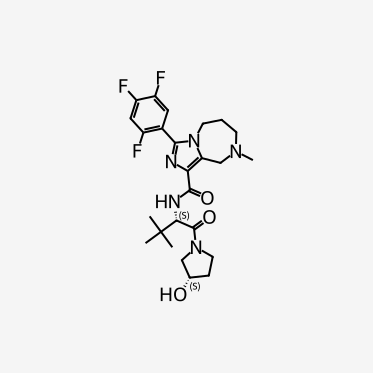 CN1CCCn2c(-c3cc(F)c(F)cc3F)nc(C(=O)N[C@H](C(=O)N3CC[C@H](O)C3)C(C)(C)C)c2C1